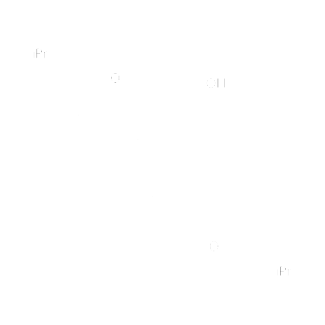 Cc1cc(C2OC(C(C)C)C2(C)C)c(CO)cc1C1OC(C(C)C)C1(C)C